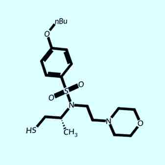 CCCCOc1ccc(S(=O)(=O)N(CCN2CCOCC2)[C@H](C)CS)cc1